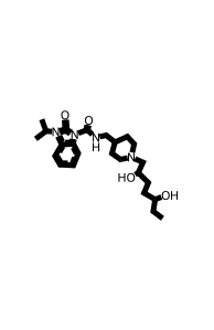 CCC(O)CCC(O)CN1CCC(CNC(=O)n2c(=O)n(C(C)C)c3ccccc32)CC1